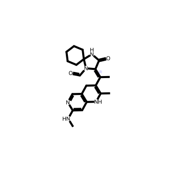 CNc1cc2c(cn1)CC(/C(C)=C1/C(=O)NC3(CCCCC3)N1C=O)=C(C)N2